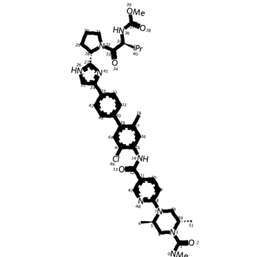 CNC(=O)N1C[C@@H](C)N(c2ccc(C(=O)Nc3cc(C)c(-c4ccc(-c5c[nH]c([C@@H]6CCCN6C(=O)[C@@H](NC(=O)OC)C(C)C)n5)cc4)cc3Cl)cn2)C[C@@H]1C